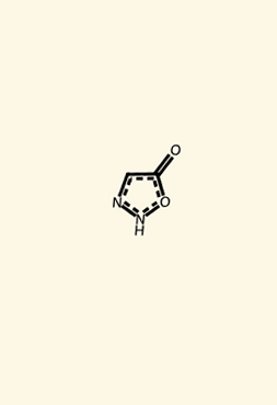 O=c1cn[nH]o1